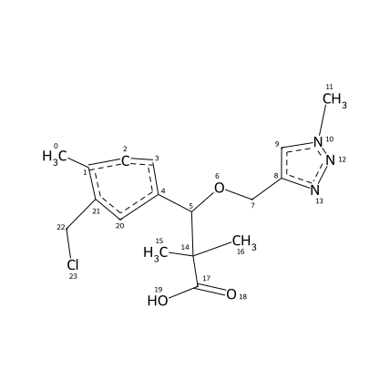 Cc1ccc(C(OCc2cn(C)nn2)C(C)(C)C(=O)O)cc1CCl